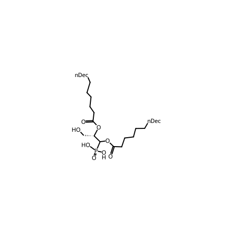 CCCCCCCCCCCCCCCC(=O)OC([C@H](CO)OC(=O)CCCCCCCCCCCCCCC)P(=O)(O)O